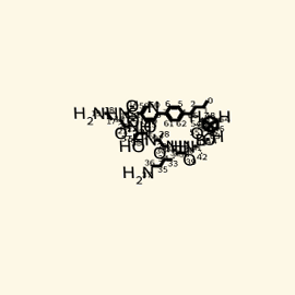 CCCCc1ccc(-c2ccc(S(=O)(=O)N[C@@H](CCN)C(=O)N[C@H](C(=O)N[C@@H](C)C(=O)N[C@@H](CCCCN)C(=O)N[C@@H](C)B3O[C@@H]4C[C@@H]5C[C@@H](C5(C)C)[C@]4(C)O3)[C@@H](C)O)cn2)cc1